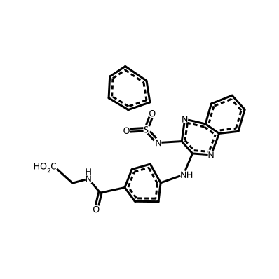 O=C(O)CNC(=O)c1ccc(Nc2nc3ccccc3nc2N=S(=O)=O)cc1.c1ccccc1